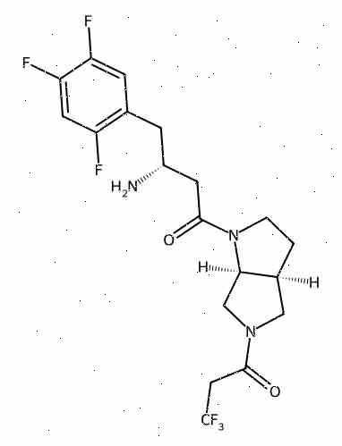 N[C@@H](CC(=O)N1CC[C@H]2CN(C(=O)CC(F)(F)F)C[C@H]21)Cc1cc(F)c(F)cc1F